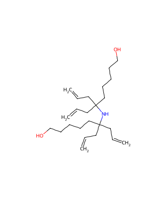 C=CCC(CC=C)(CCCCCO)NC(CC=C)(CC=C)CCCCCO